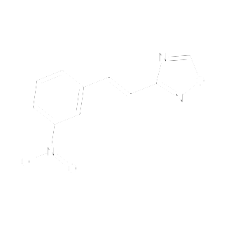 O=[N+]([O-])c1cccc(C=Cc2ncon2)c1